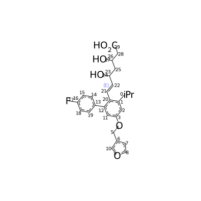 CC(C)c1cc(OCc2ccoc2)cc(-c2ccc(F)cc2)c1/C=C/C(O)CC(O)CC(=O)O